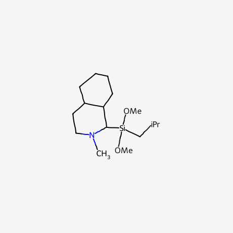 CO[Si](CC(C)C)(OC)C1C2CCCCC2CCN1C